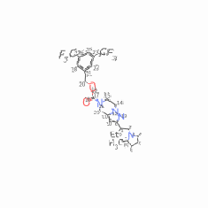 CCC(CN1CCC[C@H]1C)c1cc2n(n1)CCN(C(=O)OCc1cc(C(F)(F)F)cc(C(F)(F)F)c1)C2